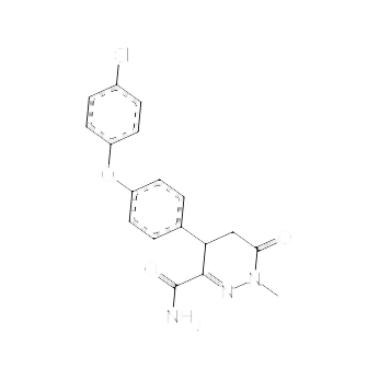 CN1N=C(C(N)=O)C(c2ccc(Oc3ccc(Cl)cc3)cc2)CC1=O